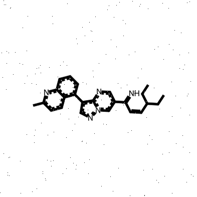 CCC(/C=C\C(=N)c1cnc2c(-c3cccc4nc(C)ccc34)cnn2c1)CC